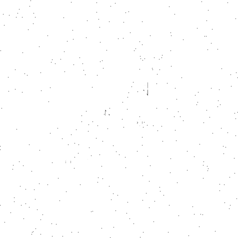 CC(=O)c1cn(CC(=O)NCC(C)C)c2ccccc12